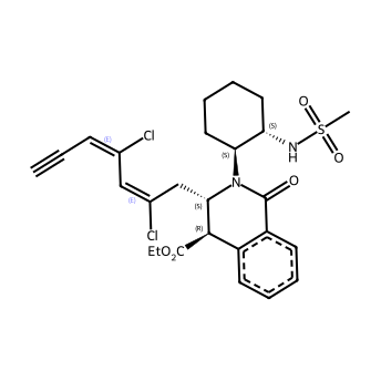 C#C/C=C(Cl)\C=C(\Cl)C[C@H]1[C@H](C(=O)OCC)c2ccccc2C(=O)N1[C@H]1CCCC[C@@H]1NS(C)(=O)=O